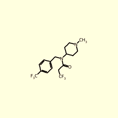 CN1CCC(N(Cc2ccc(C(F)(F)F)cc2)C(=O)CC(F)(F)F)CC1